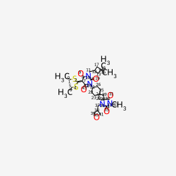 CCSC(SCC)=C1C(=O)N(CC2CC(C)(C)C2)C(=O)N(C2CCC3(CC2)CC2(C3)C(=O)N(C)C(=O)N2CC2COC2)C1=O